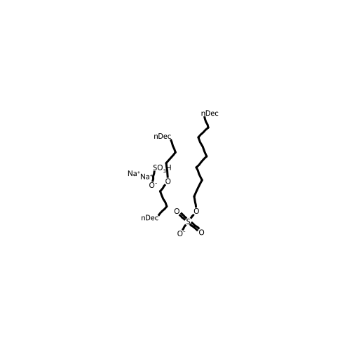 CCCCCCCCCCCCCCCCOS(=O)(=O)[O-].CCCCCCCCCCCCOCCCCCCCCCCCC.O=S(=O)([O-])O.[Na+].[Na+]